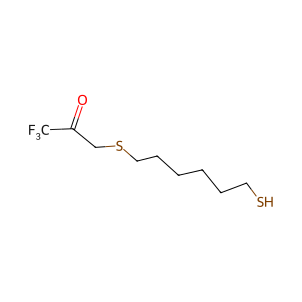 O=C(CSCCCCCCS)C(F)(F)F